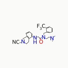 CN(C)CCN(Cc1ccccc1C(F)(F)F)C(=O)CNc1cccc2c1CCN(CC#N)C2